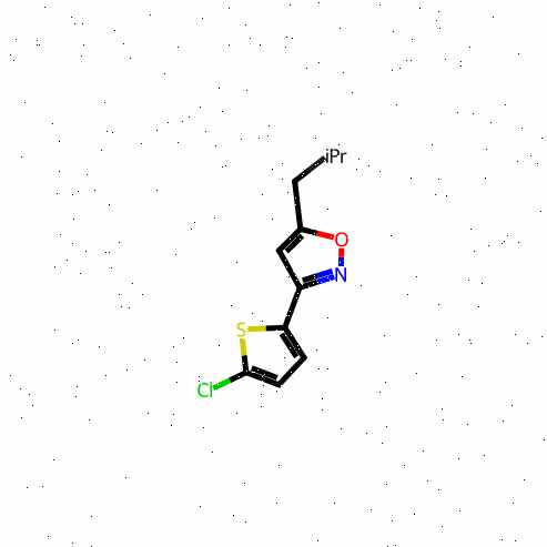 CC(C)Cc1cc(-c2ccc(Cl)s2)no1